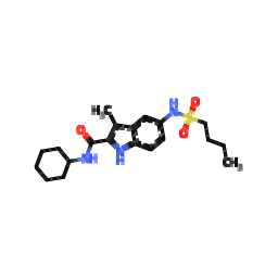 CCCCS(=O)(=O)Nc1ccc2[nH]c(C(=O)NC3CCCCC3)c(C)c2c1